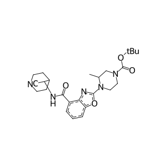 CC1CN(C(=O)OC(C)(C)C)CCN1c1nc2c(C(=O)NC3CN4CCC3CC4)cccc2o1